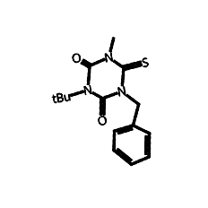 Cn1c(=S)n(Cc2ccccc2)c(=O)n(C(C)(C)C)c1=O